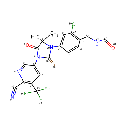 CC1(C)C(=O)N(c2cnc(C#N)c(C(F)(F)F)c2)C(=S)N1c1ccc(CNC=O)c(Cl)c1